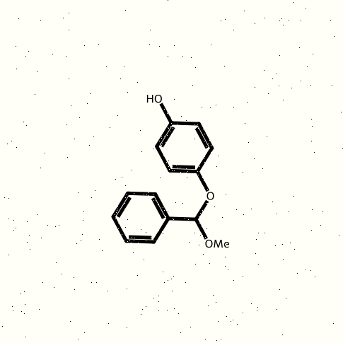 COC(Oc1ccc(O)cc1)c1ccccc1